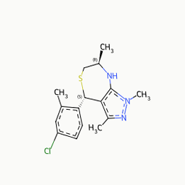 Cc1cc(Cl)ccc1[C@@H]1SC[C@@H](C)Nc2c1c(C)nn2C